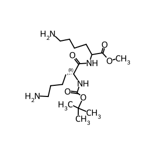 COC(=O)C(CCCCN)NC(=O)[C@@H](CCCCN)NC(=O)OC(C)(C)C